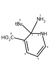 CC(C)(C)C1(N)NC=CC=C1C(=O)O